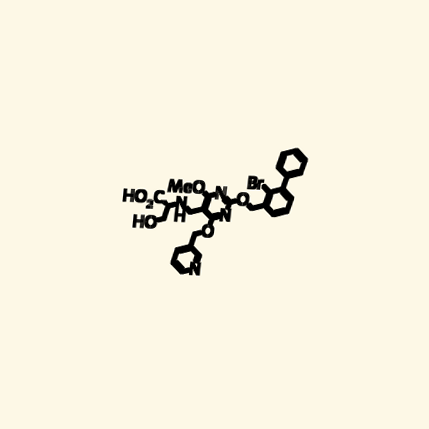 COc1nc(OCc2cccc(-c3ccccc3)c2Br)nc(OCc2cccnc2)c1CN[C@@H](CO)C(=O)O